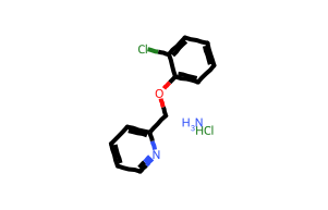 Cl.Clc1ccccc1OCc1ccccn1.N